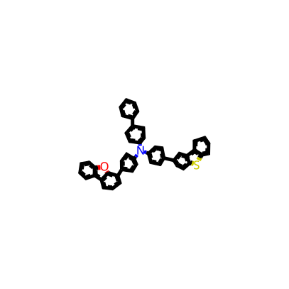 c1ccc(-c2ccc(N(c3ccc(-c4ccc5sc6ccccc6c5c4)cc3)c3ccc(-c4cccc5c4oc4ccccc45)cc3)cc2)cc1